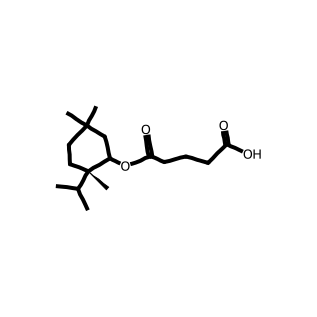 CC(C)[C@]1(C)CCC(C)(C)CC1OC(=O)CCCC(=O)O